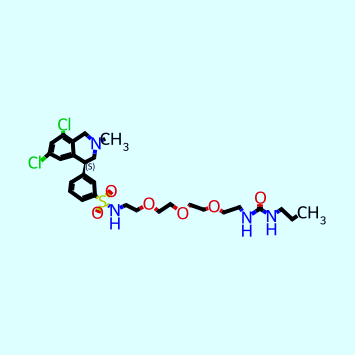 CCCNC(=O)NCCOCCOCCOCCNS(=O)(=O)c1cccc([C@@H]2CN(C)Cc3c(Cl)cc(Cl)cc32)c1